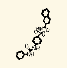 O=C(Nc1ccccc1)Nc1ccc(S(=O)(=O)NC(=O)c2ccc3ccccc3c2)cc1